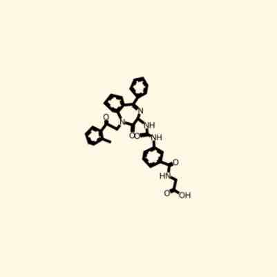 Cc1ccccc1C(=O)CN1C(=O)C(NC(=O)Nc2cccc(C(=O)NCC(=O)O)c2)N=C(c2ccccc2)c2ccccc21